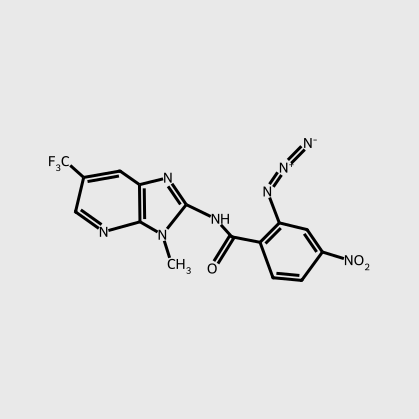 Cn1c(NC(=O)c2ccc([N+](=O)[O-])cc2N=[N+]=[N-])nc2cc(C(F)(F)F)cnc21